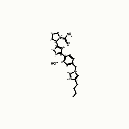 CCCCc1cn(Cc2ccc(-c3noc(C4CCCN4C(=N)N)n3)cc2)nn1.Cl